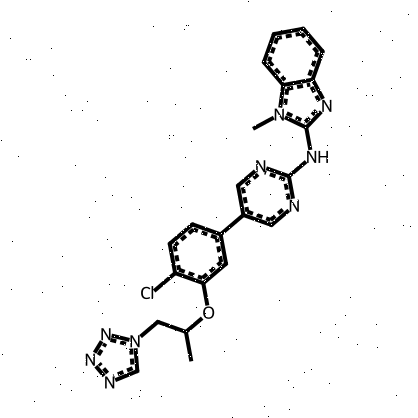 CC(Cn1cnnn1)Oc1cc(-c2cnc(Nc3nc4ccccc4n3C)nc2)ccc1Cl